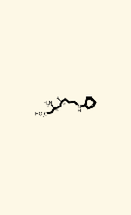 C[C@@H](CCCNc1ccccc1)C[C@H](N)CC(=O)O